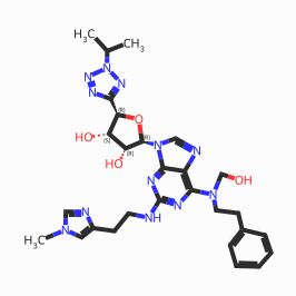 CC(C)n1nnc([C@H]2O[C@@H](n3cnc4c(N(CO)CCc5ccccc5)nc(NCCc5cn(C)cn5)nc43)[C@H](O)[C@@H]2O)n1